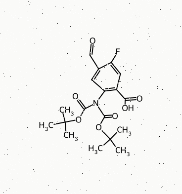 CC(C)(C)OC(=O)N(C(=O)OC(C)(C)C)c1cc(C=O)c(F)cc1C(=O)O